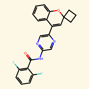 O=C(Nc1cnc(C2=CC3(CCC3)Oc3ccccc32)cn1)c1c(F)cccc1F